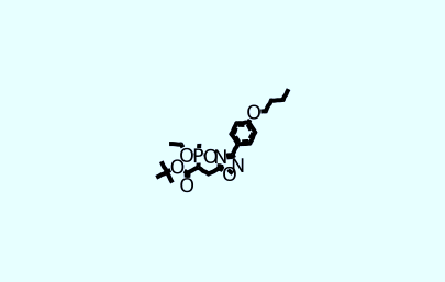 CCCCOc1ccc(-c2noc(CC(C(=O)OC(C)(C)C)P(C)(=O)OCC)n2)cc1